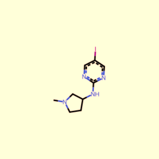 CN1CCC(Nc2ncc(I)cn2)C1